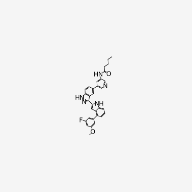 CCCCC(=O)Nc1cncc(-c2ccc3[nH]nc(-c4cc5c(-c6cc(F)cc(OC)c6)cccc5[nH]4)c3c2)c1